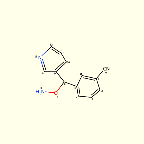 N#Cc1cccc(C(ON)c2cccnc2)c1